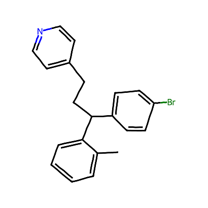 Cc1ccccc1C(CCc1ccncc1)c1ccc(Br)cc1